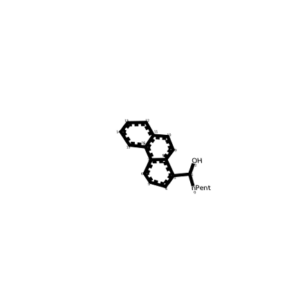 CCCCCC(O)c1cccc2c1ccc1ccccc12